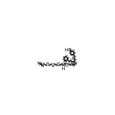 [N-]=[N+]=NCCOCCOCCOCCNC(=O)OCCn1nnc(COCc2ccc(O)cc2)c1C=Cc1ccccc1